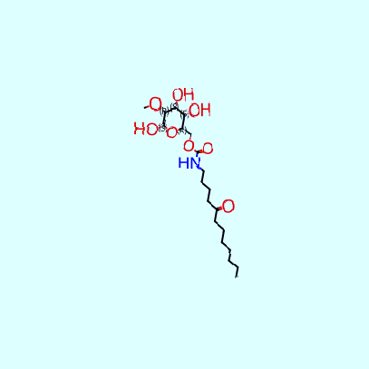 CCCCCCCC(=O)CCCCNC(=O)OC[C@H]1O[C@H](O)[C@H](OC)[C@@H](O)[C@@H]1O